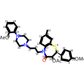 COc1ccc([C@@H]2Sc3cc(C)ccc3N(CCCN3CCN(c4ccccc4OC)CC3)C(=O)C2OC(C)=O)cc1